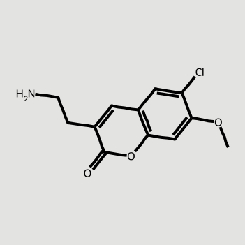 COc1cc2oc(=O)c(CCN)cc2cc1Cl